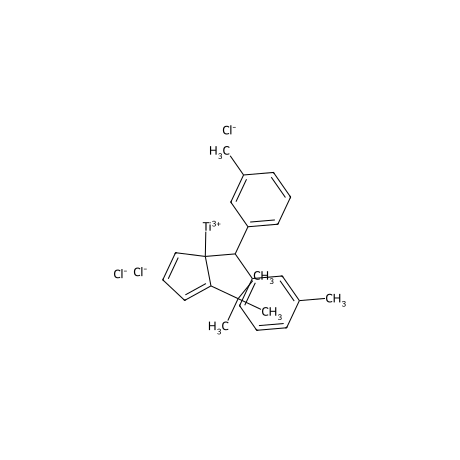 Cc1cccc(C(c2cccc(C)c2)[C]2([Ti+3])C=CC=C2C(C)(C)C)c1.[Cl-].[Cl-].[Cl-]